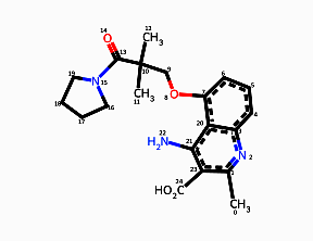 Cc1nc2cccc(OCC(C)(C)C(=O)N3CCCC3)c2c(N)c1C(=O)O